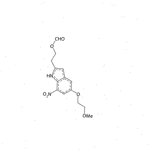 COCCOc1cc([N+](=O)[O-])c2[nH]c(CCOC=O)cc2c1